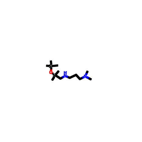 CN(C)CCCNC[Si](C)(C)O[Si](C)(C)C